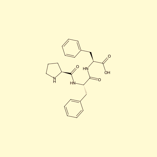 O=C(O)[C@H](Cc1ccccc1)NC(=O)[C@H](Cc1ccccc1)NC(=O)[C@@H]1CCCN1